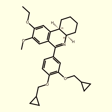 CCOc1cc2c(cc1OC)C(c1ccc(OCC3CC3)c(OCC3CC3)c1)=N[C@@H]1CCCC[C@H]21